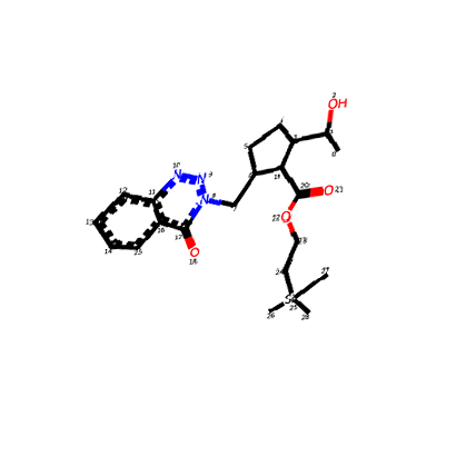 CC(O)C1CCC(Cn2nnc3ccccc3c2=O)C1C(=O)OCC[Si](C)(C)C